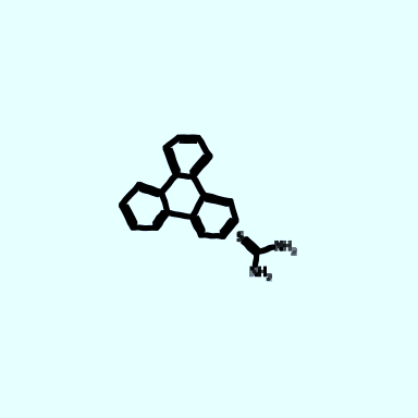 NC(N)=S.c1ccc2c(c1)c1ccccc1c1ccccc21